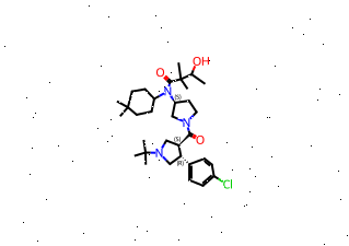 CC(O)C(C)(C)C(=O)N(C1CCC(C)(C)CC1)[C@H]1CCN(C(=O)[C@@H]2CN(C(C)(C)C)C[C@H]2c2ccc(Cl)cc2)C1